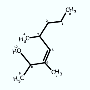 CCCC(C)C=C(C)C(C)O